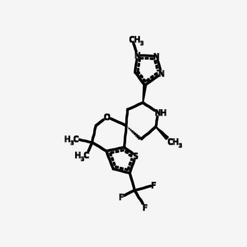 C[C@H]1C[C@@]2(C[C@@H](c3cn(C)nn3)N1)OCC(C)(C)c1cc(C(F)(F)F)sc12